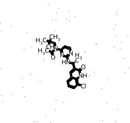 CC(=O)N(CC(C)(C)C)c1ccnc(N[C@@H](C)c2cc3cccc(Cl)c3[nH]c2=O)n1